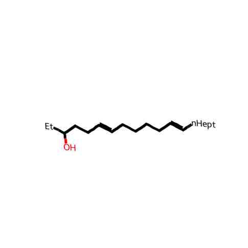 CCCCCCCC=CCCCCC=CCCC(O)CC